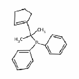 CC(C)(C1=CCCC1)P(c1ccccc1)c1ccccc1